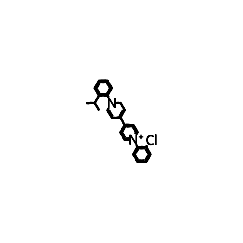 CC(C)c1ccccc1N1C=CC(c2cc[n+](-c3ccccc3Cl)cc2)=CC1